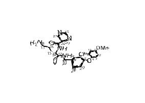 COc1ccc(Oc2ccc(CNC(=O)[C@H](CCCN)NC(=O)c3cncnc3)cc2)c(Cl)c1